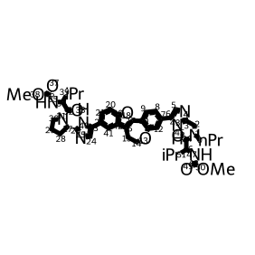 CCCN(Cc1ncc(-c2ccc3c(c2)OCCc2c-3oc3ccc(-c4cnc([C@@H]5CCCN5C(=O)C(NC(=O)OC)C(C)C)[nH]4)cc23)[nH]1)C(=O)C(NC(=O)OC)C(C)C